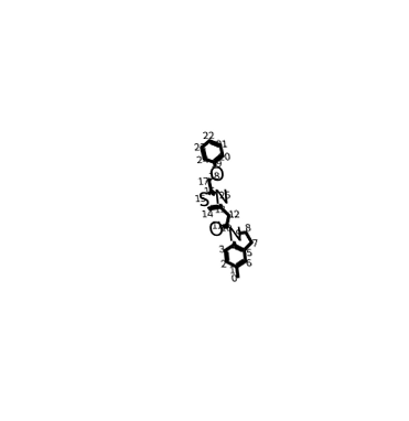 Cc1ccc2c(c1)CCN2C(=O)Cc1csc(COc2ccccc2)n1